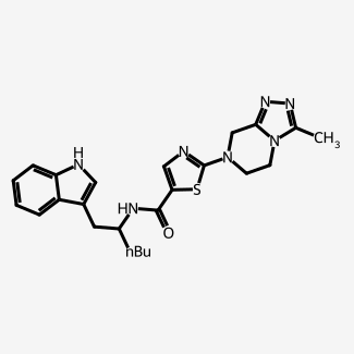 CCCCC(Cc1c[nH]c2ccccc12)NC(=O)c1cnc(N2CCn3c(C)nnc3C2)s1